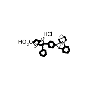 Cl.Cn1c(-c2ccc(OCc3ccccc3N3CCOCC3)cc2)c(-c2ccccc2)c2sc(C(=O)O)cc21